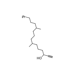 C#CC(O)CCCC(C)CCCC(C)CCCC(C)C